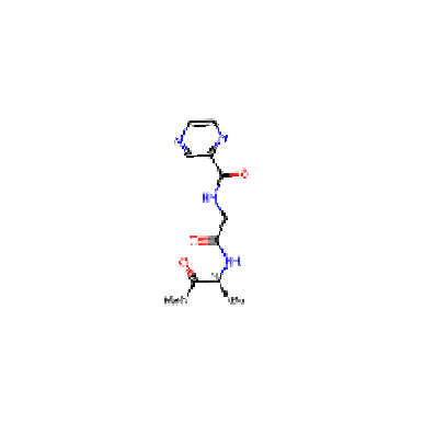 CNC(=O)[C@@H](NC(=O)CNC(=O)c1cnccn1)C(C)(C)C